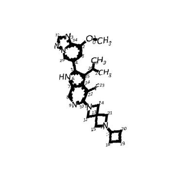 COc1cc(-c2[nH]c3cnc(N4CC5(C4)CN(C4CCC4)C5)c(F)c3c2C(C)C)cn2ncnc12